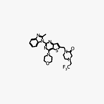 Cc1nc2ccccc2n1-c1nc(N2CCOCC2)c2sc(CN3CCN(CC(F)(F)F)CC3=O)cc2n1